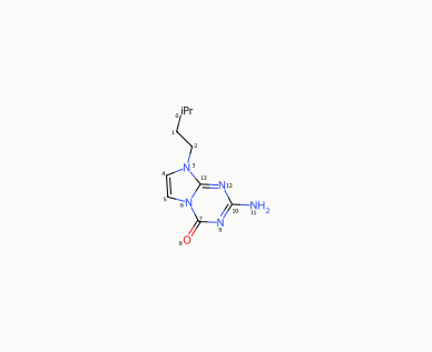 CC(C)CCn1ccn2c(=O)nc(N)nc12